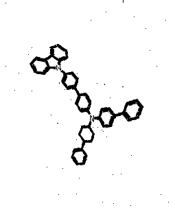 c1ccc(-c2ccc(N(c3ccc(-c4ccc(-n5c6ccccc6c6ccccc65)cc4)cc3)C3CCC(c4ccccc4)CC3)cc2)cc1